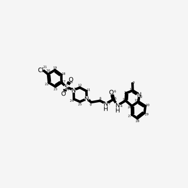 Cc1cc(NC(=O)NCCN2CCN(S(=O)(=O)c3ccc(Cl)cc3)CC2)c2ccccc2n1